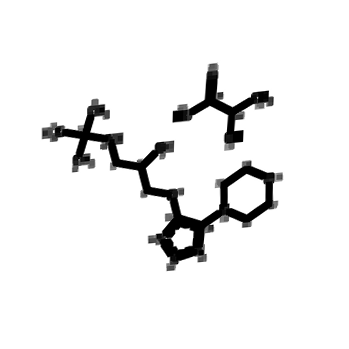 CC(C)(C)NCC(O)COc1nsnc1N1CCOCC1.CC(O)C(=O)O